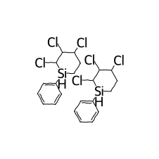 ClC1CC[SiH](c2ccccc2)C(Cl)C1Cl.ClC1CC[SiH](c2ccccc2)C(Cl)C1Cl